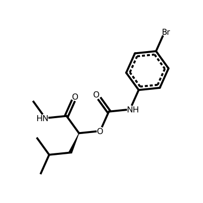 CNC(=O)[C@H](CC(C)C)OC(=O)Nc1ccc(Br)cc1